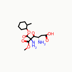 COC(=O)C(N)(C(=O)OC1CCCCC1C)C(=O)[C@@H](N)CC(=O)O